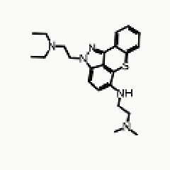 CCN(CC)CCn1nc2c3c(c(NCCN(C)C)ccc31)Sc1ccccc1-2